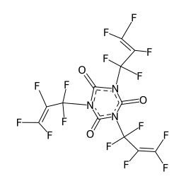 O=c1n(C(F)(F)C(F)=C(F)F)c(=O)n(C(F)(F)C(F)=C(F)F)c(=O)n1C(F)(F)C(F)=C(F)F